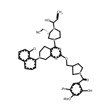 C=CC(O)N1CCN(c2nc(OCC3CCN(C(=O)c4cc(C(C)C)c(OC)cc4O)C3)nc3c2CCN(c2cccc4cccc(Cl)c24)C3)C[C@@H]1CC#N